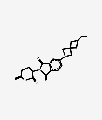 C=C1CCC(N2C(=O)c3ccc(N4CC5(CC(CC)C5)C4)cc3C2=O)C(=O)N1